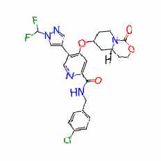 O=C(NCc1ccc(Cl)cc1)c1cc(O[C@H]2CCN3C(=O)OCC[C@@H]3C2)c(-c2cnn(C(F)F)c2)cn1